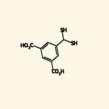 O=C(O)c1cc(C(=O)O)cc(C(S)S)c1